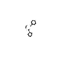 O=C(O)/C=C\C(=O)O.c1ccc([CH2][Sn][CH2]c2ccccc2)cc1